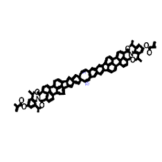 C=C(C)C(=O)Oc1cc(C(C)C)c(N2C(=O)c3ccc4c5ccc6c7c(ccc(c8ccc(c3c48)C2=O)c75)-c2cc3cc4c(cc3cc2-6)/C=C\c2cc3cc5c(cc3cc2/C=C\4)-c2ccc3c4ccc6c7c(ccc(c8ccc-5c2c83)c74)C(=O)N(c2c(C(C)C)cc(OC(=O)C(=C)C)cc2C(C)C)C6=O)c(C(C)C)c1